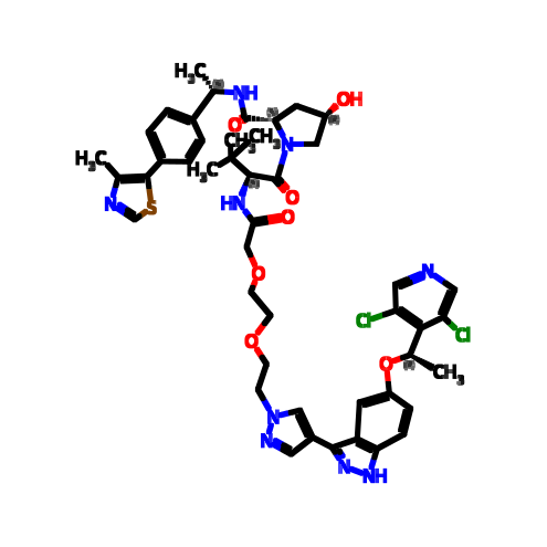 Cc1ncsc1-c1ccc([C@H](C)NC(=O)[C@@H]2C[C@@H](O)CN2C(=O)[C@@H](NC(=O)COCCOCCn2cc(-c3n[nH]c4ccc(O[C@H](C)c5c(Cl)cncc5Cl)cc34)cn2)C(C)(C)C)cc1